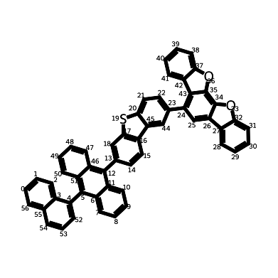 c1ccc2c(-c3c4ccccc4c(-c4ccc5c(c4)sc4ccc(-c6cc7c8ccccc8oc7c7oc8ccccc8c67)cc45)c4ccccc34)cccc2c1